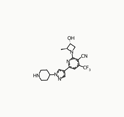 C[C@H]1[C@H](O)CN1c1nc(-c2cnn(C3CCNCC3)c2)cc(C(F)(F)F)c1C#N